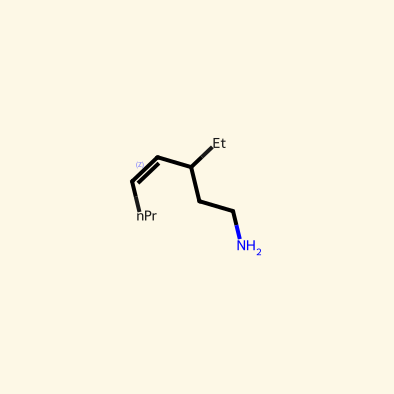 CCC/C=C\C(CC)CCN